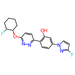 Oc1cc(-n2ccc(F)n2)ccc1-c1ccc(O[C@@H]2CCCC[C@@H]2F)nn1